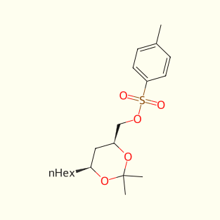 CCCCCC[C@H]1C[C@@H](COS(=O)(=O)c2ccc(C)cc2)OC(C)(C)O1